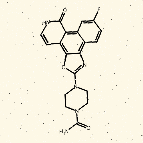 NC(=O)N1CCN(c2nc3c4ccc(F)cc4c4c(=O)[nH]ccc4c3o2)CC1